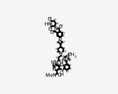 CNC(=O)c1nnc(NC(=O)CCN2CCC(C3CN(c4ccc5c(c4)C(=O)N(C4CCC(=O)NC4=O)C5=O)C3)CC2)cc1Nc1cccc(-c2ncn(C)n2)c1OC